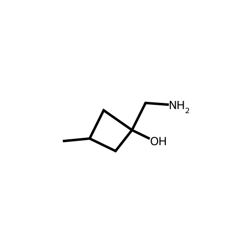 CC1CC(O)(CN)C1